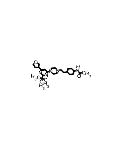 CC(=O)NC1CCC(CCN2CCN(c3cc(C4CCOC4)nc(C(C)(C)C)n3)CC2)CC1